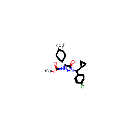 CC(C)(C)OC(=O)NC(C(=O)NC(c1ccc(Cl)cc1)C1CC1)[C@H]1CC[C@H](C(=O)O)CC1